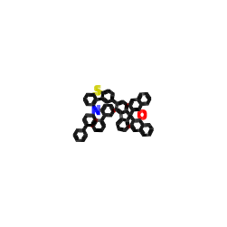 c1ccc(-c2ccc(N(c3ccccc3-c3ccccc3)c3cccc4sc5ccc(-c6ccc7c(c6)-c6ccccc6C76c7ccc8ccccc8c7Oc7c6ccc6ccccc76)cc5c34)cc2)cc1